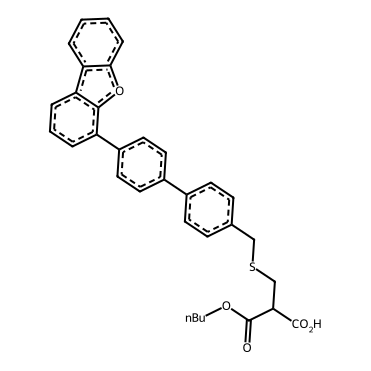 CCCCOC(=O)C(CSCc1ccc(-c2ccc(-c3cccc4c3oc3ccccc34)cc2)cc1)C(=O)O